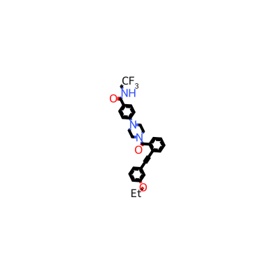 CCOc1cccc(C#Cc2ccccc2C(=O)N2CCN(c3ccc(C(=O)NCC(F)(F)F)cc3)CC2)c1